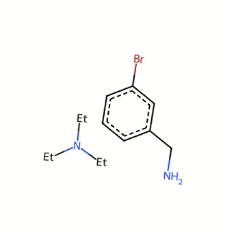 CCN(CC)CC.NCc1cccc(Br)c1